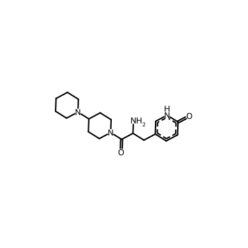 NC(Cc1ccc(=O)[nH]c1)C(=O)N1CCC(N2CCCCC2)CC1